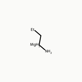 CCCCN.[MgH2]